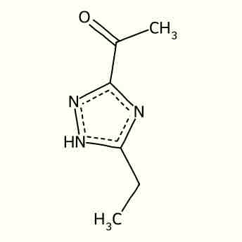 CCc1nc(C(C)=O)n[nH]1